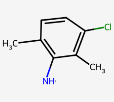 Cc1ccc(Cl)c(C)c1[NH]